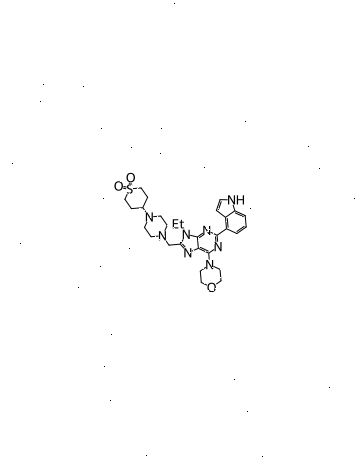 CCn1c(CN2CCN(C3CCS(=O)(=O)CC3)CC2)nc2c(N3CCOCC3)nc(-c3cccc4[nH]ccc34)nc21